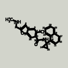 CNCc1cc2cc(C)c(C(=O)NC3(c4cccc5ccccc45)CC3)cc2o1